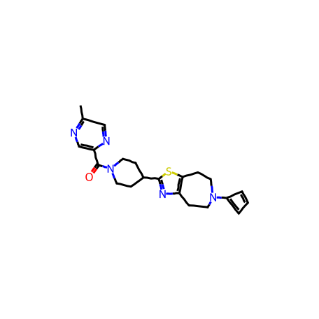 Cc1cnc(C(=O)N2CCC(c3nc4c(s3)CCN(C3=CC=C3)CC4)CC2)cn1